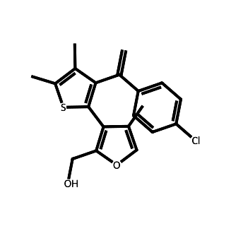 C=C(c1ccc(Cl)cc1)c1c(-c2c(C)coc2CO)sc(C)c1C